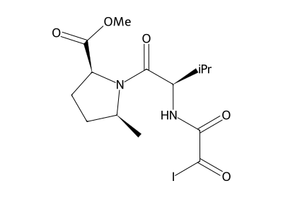 COC(=O)[C@@H]1CC[C@H](C)N1C(=O)[C@H](NC(=O)C(=O)I)C(C)C